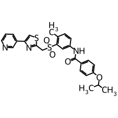 Cc1ccc(NC(=O)c2ccc(OC(C)C)cc2)cc1S(=O)(=O)Cc1nc(-c2cccnc2)cs1